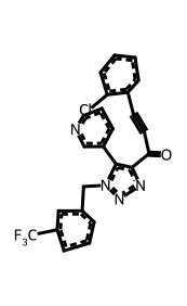 O=C(C#Cc1ccccc1Cl)c1nnn(Cc2cccc(C(F)(F)F)c2)c1-c1cccnc1